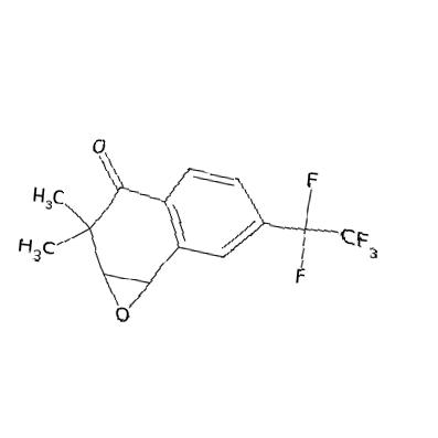 CC1(C)C(=O)c2ccc(C(F)(F)C(F)(F)F)cc2C2OC21